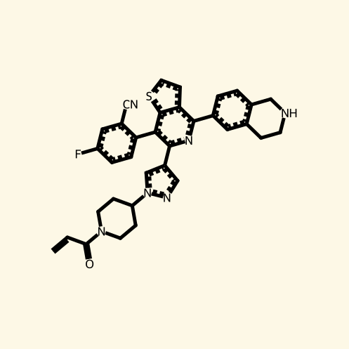 C=CC(=O)N1CCC(n2cc(-c3nc(-c4ccc5c(c4)CCNC5)c4ccsc4c3-c3ccc(F)cc3C#N)cn2)CC1